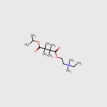 CC[N+](C)(C)CCOC(=O)C(C)(C)C(C)(C)C(=O)OC(C)C